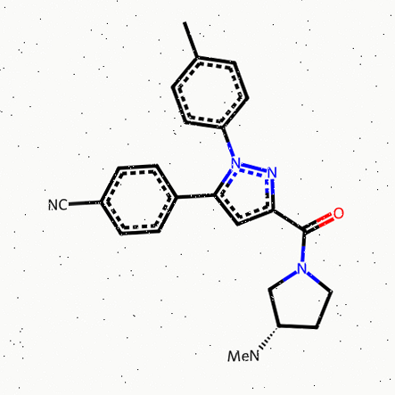 CN[C@H]1CCN(C(=O)c2cc(-c3ccc(C#N)cc3)n(-c3ccc(C)cc3)n2)C1